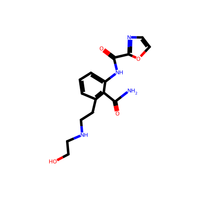 NC(=O)c1c([CH]CNCCO)cccc1NC(=O)c1ncco1